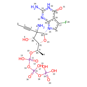 CC#CC1(N)[C@@H](O)[C@@H]([C@@H](C)OP(=O)(O)OP(=O)(O)OP(=O)(O)O)O[C@H]1n1cc(F)c2c(=O)[nH]c(N)nc21